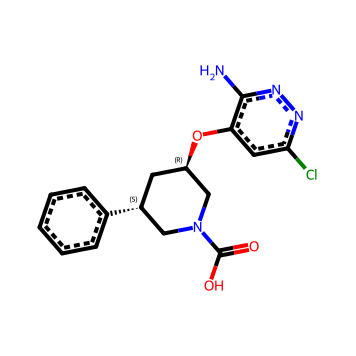 Nc1nnc(Cl)cc1O[C@@H]1C[C@@H](c2ccccc2)CN(C(=O)O)C1